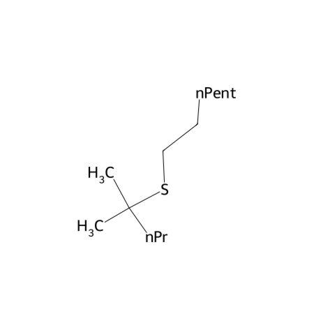 CCCCCCCSC(C)(C)CCC